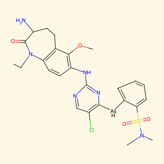 CCN1C(=O)C(N)CCc2c1ccc(Nc1ncc(Cl)c([AsH]c3ccccc3S(=O)(=O)N(C)C)n1)c2OC